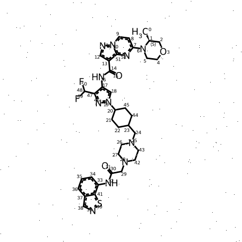 C[C@H]1COCCN1c1ccn2ncc(C(=O)Nc3cn(C4CCC(CN5CCN(CC(=O)Nc6cccc7cnsc67)CC5)CC4)nc3C(F)F)c2n1